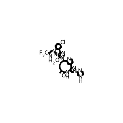 CC1CCCC(n2cnc(-c3cc(Cl)ccc3N(N)/C=C(\N)C(F)(F)F)cc2=O)c2cc(ccn2)-c2nn(C3=CNCC=N3)cc2NC1=O